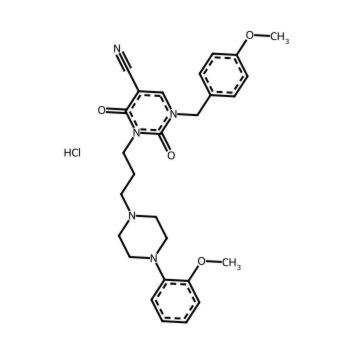 COc1ccc(Cn2cc(C#N)c(=O)n(CCCN3CCN(c4ccccc4OC)CC3)c2=O)cc1.Cl